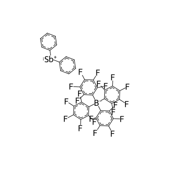 Fc1c(F)c(F)c([B-](c2c(F)c(F)c(F)c(F)c2F)(c2c(F)c(F)c(F)c(F)c2F)c2c(F)c(F)c(F)c(F)c2F)c(F)c1F.c1cc[c]([Sb+][c]2ccccc2)cc1